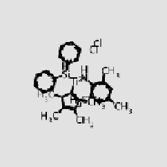 CC1=C(C)C(C)[C]([Ti+2]([NH]c2c(C)cc(C)cc2C)[SiH](c2ccccc2)c2ccccc2)=C1C.[Cl-].[Cl-]